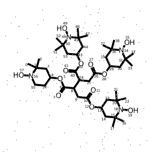 CC1(C)CC(OC(=O)C(CC(=O)OC2CC(C)(C)N(O)C(C)(C)C2)C(CC(=O)OC2CC(C)(C)N(O)C(C)(C)C2)C(=O)OC2CC(C)(C)N(O)C(C)(C)C2)CCN1O